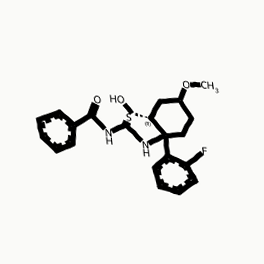 COC1CCC(NC(=S)NC(=O)c2ccccc2)(c2ccccc2F)[C@H](CO)C1